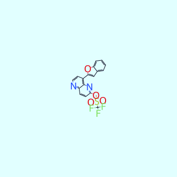 O=S(=O)(Oc1ccc2nccc(-c3cc4ccccc4o3)c2n1)C(F)(F)F